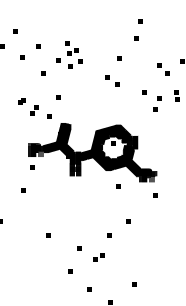 C=C(Nc1ccnc(C(C)C)c1)C(C)C